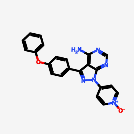 Nc1ncnc2c1c(-c1ccc(Oc3ccccc3)cc1)nn2-c1cc[n+]([O-])cc1